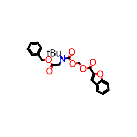 CC(C)(C)N(CC(=O)OCc1ccccc1)C(=O)OCOC(=O)c1cc2ccccc2o1